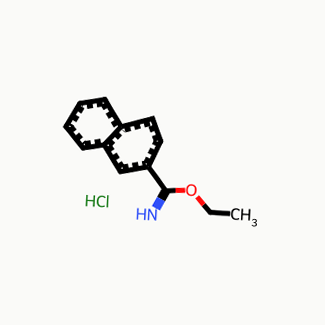 CCOC(=N)c1ccc2ccccc2c1.Cl